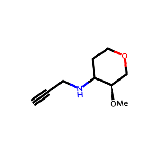 C#CCNC1CCOC[C@H]1OC